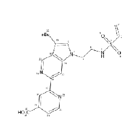 C=CS(=O)(=O)NCCn1cc(CCCC)c2cnc(-c3cc(C(=O)O)ccn3)cc21